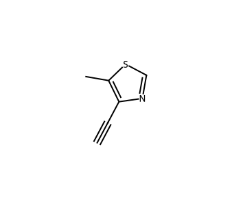 C#Cc1ncsc1C